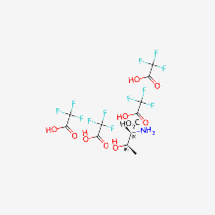 C[C@@H](O)[C@H](N)C(=O)O.O=C(O)C(F)(F)F.O=C(O)C(F)(F)F.O=C(O)C(F)(F)F.O=C(O)C(F)(F)F